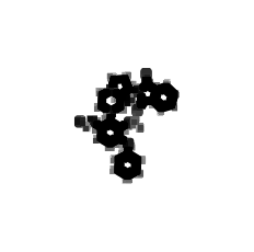 O=C1c2ccccc2C(=O)N1[C@@H]1CCN2CCN(c3c([N+](=O)[O-])ccc(Oc4ccccc4)c3C(F)(F)F)C[C@@H]12